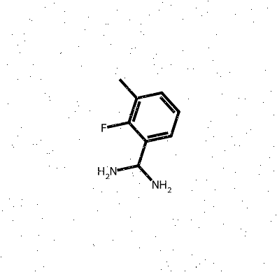 Cc1cccc(C(N)N)c1F